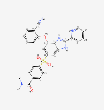 CN(C)C(=O)c1ccc(S(=O)(=O)c2cc(Oc3ccccc3C#N)c3nc(-c4ccccn4)[nH]c3c2)cc1